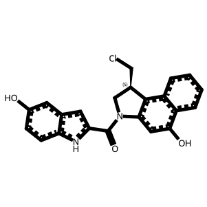 O=C(c1cc2cc(O)ccc2[nH]1)N1C[C@@H](CCl)c2c1cc(O)c1ccccc21